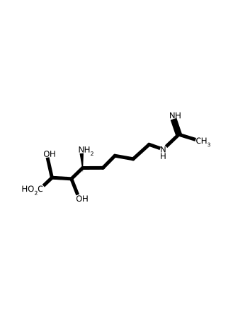 CC(=N)NCCCC[C@H](N)C(O)C(O)C(=O)O